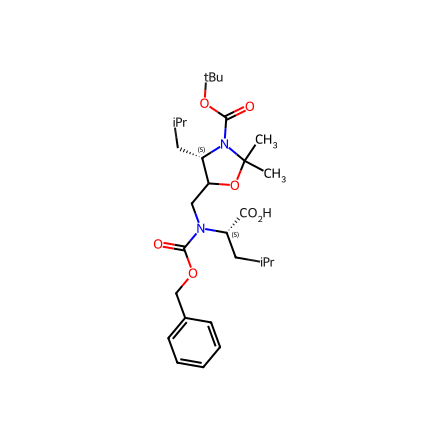 CC(C)C[C@@H](C(=O)O)N(CC1OC(C)(C)N(C(=O)OC(C)(C)C)[C@H]1CC(C)C)C(=O)OCc1ccccc1